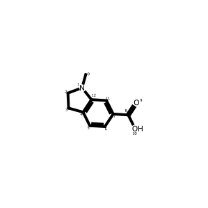 CN1CCc2ccc(C(=O)O)cc21